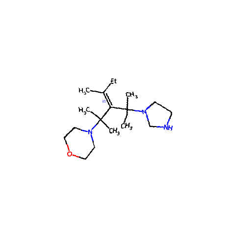 CC/C(C)=C(/C(C)(C)N1CCOCC1)C(C)(C)N1CCNC1